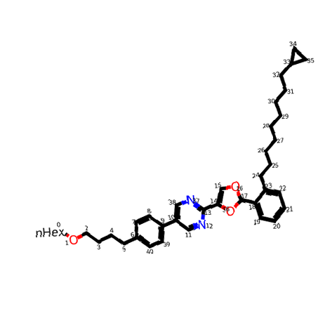 CCCCCCOCCCCc1ccc(-c2cnc(C3=COC(c4ccccc4CCCCCCCCCC4CC4)O3)nc2)cc1